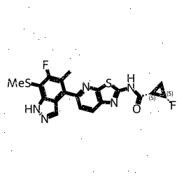 CSc1c(F)c(C)c(-c2ccc3nc(NC(=O)[C@@H]4C[C@@H]4F)sc3n2)c2cn[nH]c12